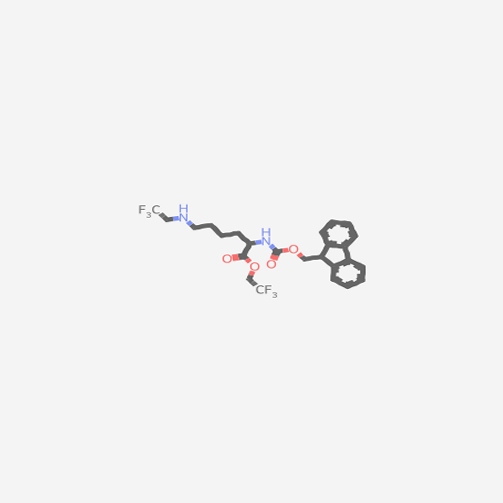 O=C(NC(CCCCNCC(F)(F)F)C(=O)OCC(F)(F)F)OCC1c2ccccc2-c2ccccc21